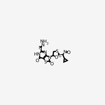 NN=Nc1nc2c(sc(=O)n2C2CS[C@@H](C(N=O)C3CC3)O2)c(=O)[nH]1